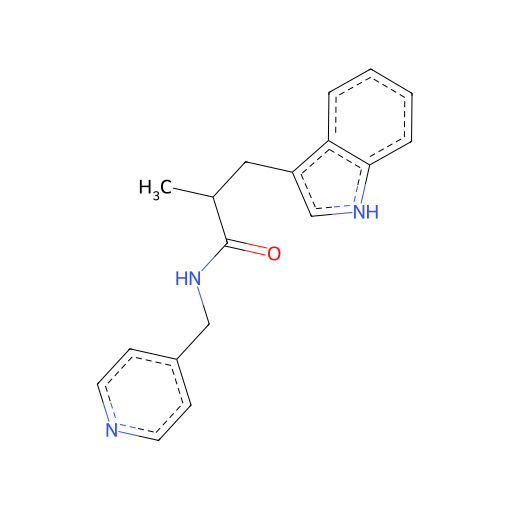 CC(Cc1c[nH]c2ccccc12)C(=O)NCc1ccncc1